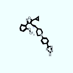 FC(F)(F)Oc1ccccc1-c1noc(C2CC2)c1/C=C/C1CCN(c2ccc(-c3nn[nH]n3)cc2)CC1